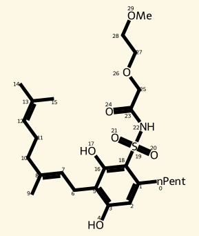 CCCCCc1cc(O)c(C/C=C(\C)CCC=C(C)C)c(O)c1S(=O)(=O)NC(=O)COCCOC